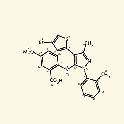 CCc1csc(-c2c(C)nn(-c3ccccc3C)c2Nc2ccc(OC)cc2C(=O)O)c1